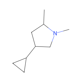 CC1CC(C2CC2)CN1C